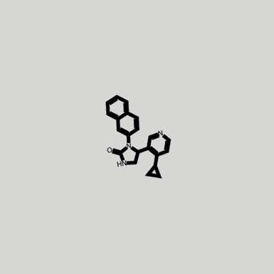 O=C1NCC(c2cnccc2C2CC2)N1c1ccc2ccccc2c1